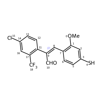 COc1cc(S)ccc1/C=C(\C=O)c1ccc(Cl)cc1C(F)(F)F